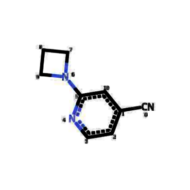 N#Cc1ccnc(N2CCC2)c1